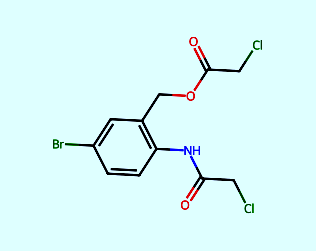 O=C(CCl)Nc1ccc(Br)cc1COC(=O)CCl